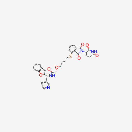 O=C1CCC(N2C(=O)c3cccc(SCCCCOCC(=O)NC(c4cccnc4)c4cc5ccccc5o4)c3C2=O)C(=O)N1